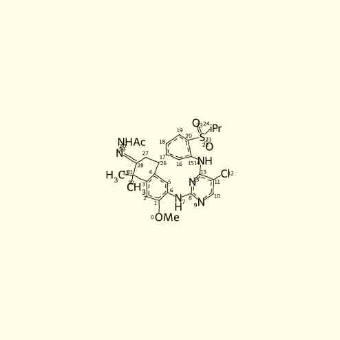 COc1cc2c(cc1Nc1ncc(Cl)c(Nc3ccccc3S(=O)(=O)C(C)C)n1)CCC(=NNC(C)=O)C2(C)C